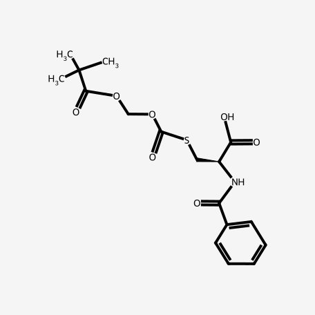 CC(C)(C)C(=O)OCOC(=O)SC[C@H](NC(=O)c1ccccc1)C(=O)O